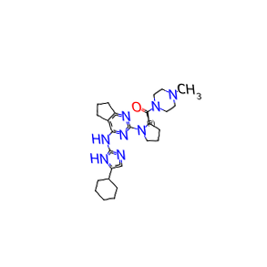 CN1CCN(C(=O)[C@H]2CCCN2c2nc3c(c(Nc4ncc(C5CCCCC5)[nH]4)n2)CCC3)CC1